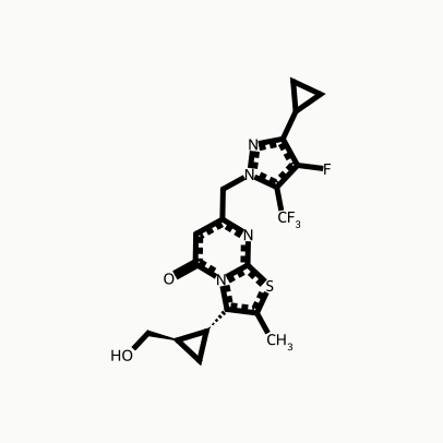 Cc1sc2nc(Cn3nc(C4CC4)c(F)c3C(F)(F)F)cc(=O)n2c1[C@@H]1C[C@H]1CO